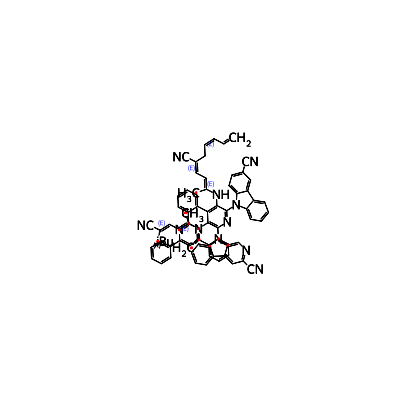 C=C/C=C\C/C(C#N)=C\C=C(/C)Nc1c(-n2c3ccccc3c3cc(C#N)ccc32)nc(-n2c3ccccc3c3cc(C#N)ncc32)c(N(C=C)/C(C)=C/C=C(/C#N)[C@H](C)CC)c1-c1ccccc1-c1nc(-c2ccccc2)cc(-c2ccccc2)n1